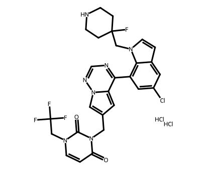 Cl.Cl.O=c1ccn(CC(F)(F)F)c(=O)n1Cc1cc2c(-c3cc(Cl)cc4ccn(CC5(F)CCNCC5)c34)ncnn2c1